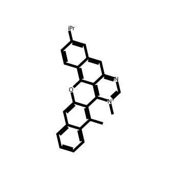 Cc1c2c(cc3ccccc13)Oc1c3ccc(C(C)C)cc3cc3nc[n+](C)c-2c13